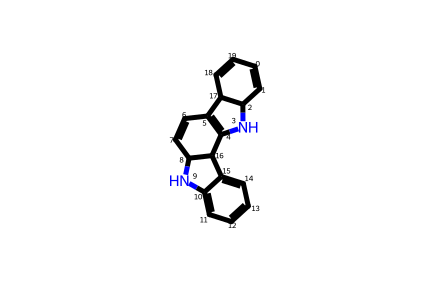 C1=CC2NC3=C(C=CC4Nc5ccccc5C34)C2C=C1